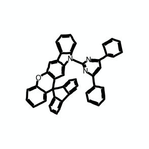 c1ccc(-c2cc(-c3ccccc3)nc(-n3c4ccccc4c4cc5c(cc43)C3(c4ccccc4O5)c4ccccc4-c4ccccc43)n2)cc1